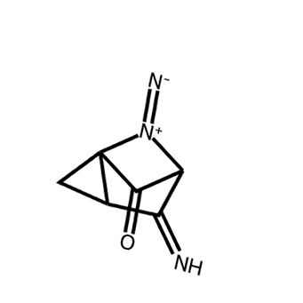 [N-]=[N+]1C2C(=N)C3CC31C2=O